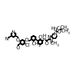 Cc1c(COc2cc(OCc3cncc(C#N)c3)c(C=O)cc2Cl)cccc1-c1cccc(NC(=O)c2nc3c(n2C)CCN(C(=O)OC(C)(C)C)C3)c1Cl